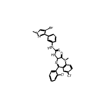 CN1C(=O)C(NC(=S)Nc2cccc(-c3nn(C)cc3Br)c2)N=C(c2ccccc2Cl)c2cc(Cl)ccc21